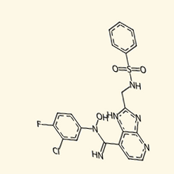 N=C(c1ccnc2nc(CNS(=O)(=O)c3ccccc3)[nH]c12)N(O)c1ccc(F)c(Cl)c1